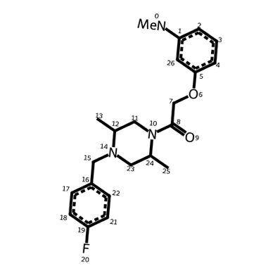 CNc1cccc(OCC(=O)N2CC(C)N(Cc3ccc(F)cc3)CC2C)c1